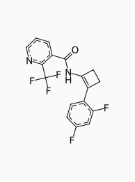 O=C(NC1=C(c2ccc(F)cc2F)CC1)c1cccnc1C(F)(F)F